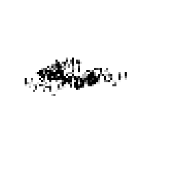 CNS(=O)(=O)c1cc(-c2sc(Nc3cccc(N4CCN(C(=O)O)[C@@H](C)C4=O)n3)nc2C)cc2c1C(=O)N([C@@H](C)C1CC1)C2